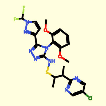 COc1cccc(OC)c1-n1c(NSC(C)C(C)c2ncc(Cl)cn2)nnc1-c1ccn(C(F)F)n1